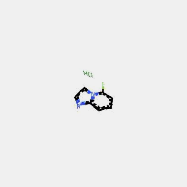 Cl.Fc1cccc2nccn12